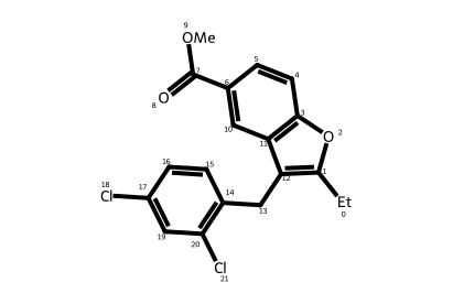 CCc1oc2ccc(C(=O)OC)cc2c1Cc1ccc(Cl)cc1Cl